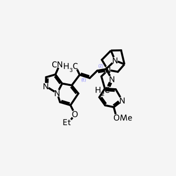 C=N/C(=C\C=C(/C)c1cc(OCC)cn2ncc(C#N)c12)N1C2CC1CN(Cc1ccc(OC)nc1)C2